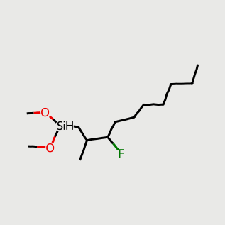 CCCCCCCC(F)C(C)C[SiH](OC)OC